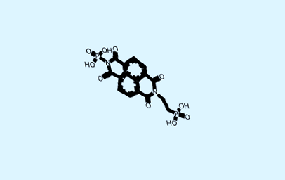 O=C1c2ccc3c4c(ccc(c24)C(=O)N1CCP(=O)(O)O)C(=O)N(P(=O)(O)O)C3=O